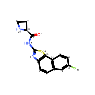 O=C(Nc1nc2ccc3cc(F)ccc3c2s1)[C@@H]1CCN1